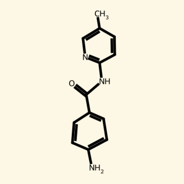 Cc1ccc(NC(=O)c2ccc(N)cc2)nc1